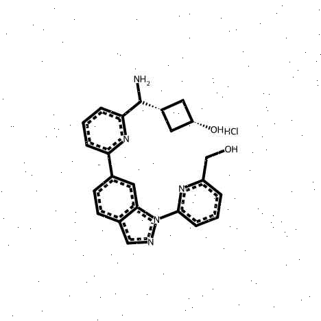 Cl.NC(c1cccc(-c2ccc3cnn(-c4cccc(CO)n4)c3c2)n1)[C@H]1C[C@@H](O)C1